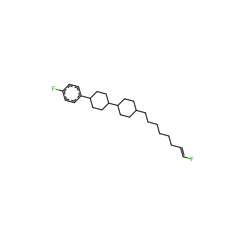 F/C=C/CCCCCCC1CCC(C2CCC(c3ccc(F)cc3)CC2)CC1